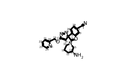 N#Cc1ccc(C2(C(=O)N3CCC[C@@H](N)C3)C=C(OCc3ccccn3)N=N2)cc1